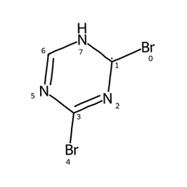 Br[C]1N=C(Br)N=CN1